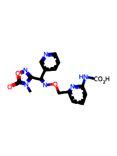 Cn1c(C(=NOCc2cccc(NC(=O)O)n2)c2cccnc2)noc1=O